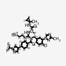 Cc1ncn(-c2cc([C@@H](COC(=O)NC3(C)CC3)N(C(=N)NCCC(C)(C)C)C(=O)c3ccc(-c4cnn(C(F)F)c4)cc3)ccc2Cl)n1